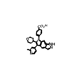 Cc1cc(-c2c(C3CCOCC3)n(-c3ccc(C(=O)O)cc3)c3cc4[nH]ncc4cc23)ccn1